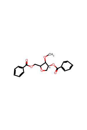 COC1C(COC(=O)c2ccccc2)OC[C@@H]1OC(=O)c1ccccc1